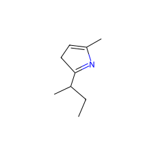 CCC(C)C1=NC(C)=CC1